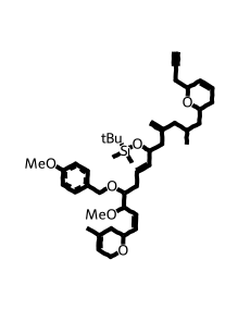 C#CCC1C=CCC(CC(C)CC(=C)CC(/C=C/CC(OCc2ccc(OC)cc2)C(/C=C\C2CC(C)=CCO2)OC)O[Si](C)(C)C(C)(C)C)O1